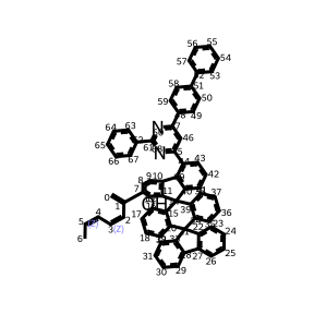 C=C(/C=C\C=C/C)c1ccc2c(c1O)C1(c3ccccc3C3(c4ccccc4-c4ccccc43)c3ccccc31)c1cccc(-c3cc(-c4ccc(-c5ccccc5)cc4)nc(-c4ccccc4)n3)c1-2